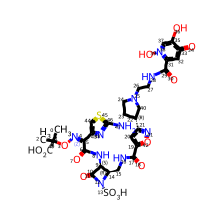 CC(C)(O/N=C(\C(=O)N[C@@H]1C(=O)N(S(=O)(=O)O)[C@@H]1CNC(=O)c1cc([C@@H]2CCN(CCNC(=O)c3cc(=O)c(O)cn3O)C2)no1)c1csc(N)n1)C(=O)O